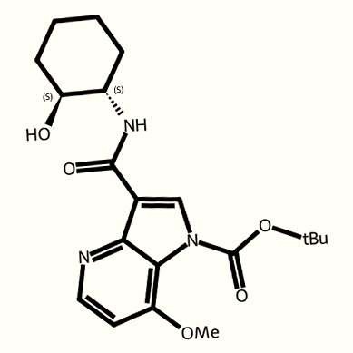 COc1ccnc2c(C(=O)N[C@H]3CCCC[C@@H]3O)cn(C(=O)OC(C)(C)C)c12